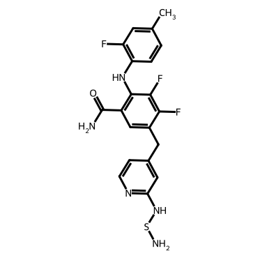 Cc1ccc(Nc2c(C(N)=O)cc(Cc3ccnc(NSN)c3)c(F)c2F)c(F)c1